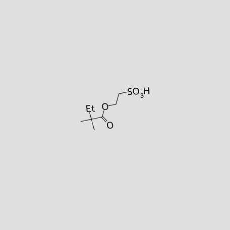 CCC(C)(C)C(=O)OCCS(=O)(=O)O